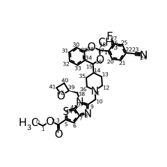 CCOC(=O)c1cc2nc(CN3CCC(C4O[C@](C)(c5ccc(C#N)cc5F)Oc5ccccc54)CC3)n(C[C@@H]3CCO3)c2s1